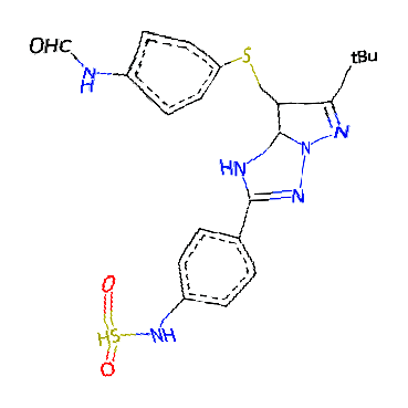 CC(C)(C)C1=NN2N=C(c3ccc(N[SH](=O)=O)cc3)NC2C1Sc1ccc(NC=O)cc1